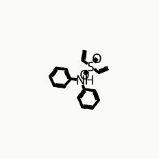 C=CS(=O)(=O)C=C.c1ccc(Nc2ccccc2)cc1